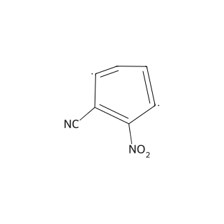 N#Cc1[c]cc[c]c1[N+](=O)[O-]